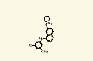 COc1cc(O)cc(Nc2ccnc3ccc(N=S4(=O)CCCC4)cc23)c1